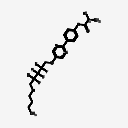 CCCCOCC(F)(F)C(F)(F)C(F)(F)COc1cnc(-c2ccc(OC(=O)[C@H](C)Cl)cc2)nc1